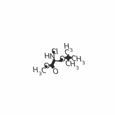 COC(=O)[C@H](COC(C)(C)C)NCl